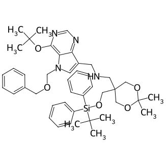 CC(C)(C)Oc1ncnc2c(CNCC3(CO[Si](c4ccccc4)(c4ccccc4)C(C)(C)C)COC(C)(C)OC3)cn(COCc3ccccc3)c12